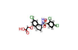 O=C(O)COc1cc(Cl)cc2c1CCCC2NS(=O)(=O)c1ccc(Cl)cc1Cl